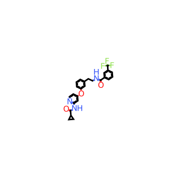 O=C(NCCc1cccc(Oc2ccnc(NC(=O)C3CC3)c2)c1)c1cccc(C(F)(F)F)c1